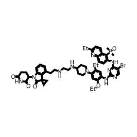 CCOc1cc(N2CCC(NCCNCCc3cccc4c3C3(CC3)C(=O)N4C3CCC(=O)NC3=O)CC2)c(CC)cc1Nc1ncc(Br)c(Nc2ccc3nc(CC)ccc3c2P(C)(C)=O)n1